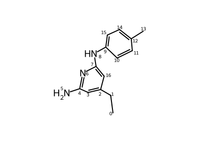 CCc1cc(N)nc(Nc2ccc(C)cc2)c1